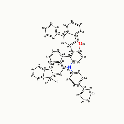 CC1(C)c2ccccc2-c2ccc(N(c3ccc(-c4ccccc4)cc3)c3ccc4oc5c6ccccc6c(-c6ccccc6)cc5c4c3-c3ccccc3)cc21